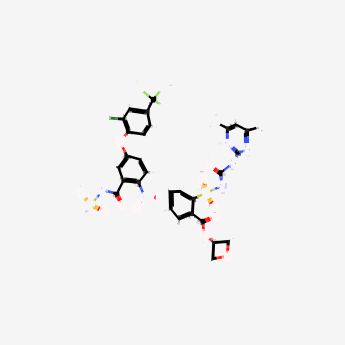 CS(=O)(=O)NC(=O)c1cc(Oc2ccc(C(F)(F)F)cc2Cl)ccc1[N+](=O)[O-].Cc1cc(C)nc(NC(=O)NS(=O)(=O)c2ccccc2C(=O)OC2COC2)n1